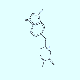 C=C(/C=C(\C)Cc1ccc2[nH]cc(C)c2c1)C(C)=O